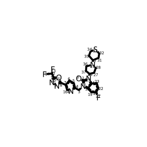 O=c1n(Cc2ccc(-c3nnc(C(F)F)o3)cn2)c2cc(F)ccc2n1C1CCN(C2CCSCC2)CC1